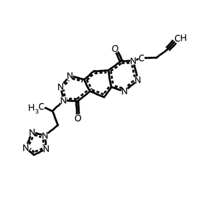 C#CCCn1nnc2cc3c(=O)n(C(C)Cn4ncnn4)nnc3cc2c1=O